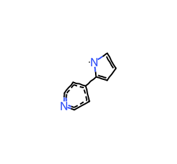 C1=C[N]C(c2ccncc2)=C1